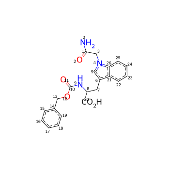 NC(=O)Cn1cc(CC(NC(=O)OCc2ccccc2)C(=O)O)c2ccccc21